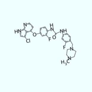 CN1CCN(Cc2ccc(NC(=O)Nc3ccc(Oc4ccnc5[nH]cc(Cl)c45)cc3F)cc2F)CC1